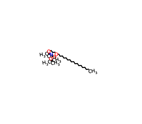 CCCCCCCCCCCCCCCCCCOCC1COC(C)(C)N1C(=O)OC(C)(C)C